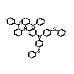 O=C(C1=C(N(c2ccc(N(c3ccc(Sc4ccccc4)cc3)c3ccc(Sc4ccccc4)cc3)cc2)c2ccccc2C(=O)c2ccccc2)C=CCC1)c1ccccc1